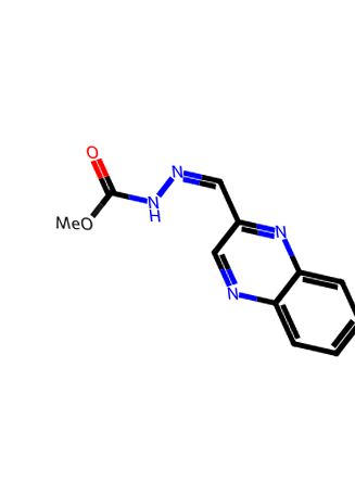 COC(=O)N/N=C\c1cnc2ccccc2n1